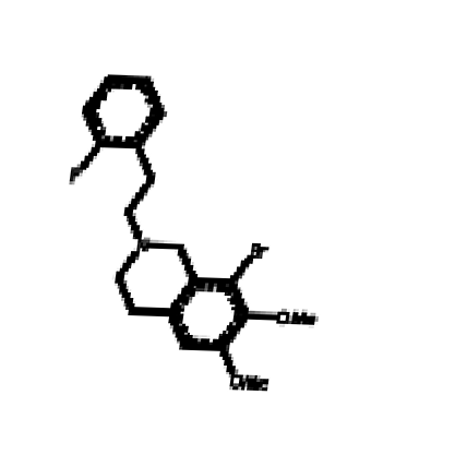 COc1cc2c(c(Br)c1OC)CN(CCc1ccccc1F)CC2